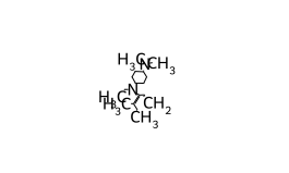 C=C/C(=C(/C)CC)N(CC)[C@H]1CC[C@H](N(C)C)CC1